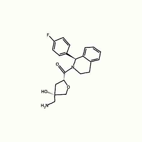 NC[C@]1(O)CO[C@@H](C(=O)N2CCc3ccccc3[C@@H]2c2ccc(F)cc2)C1